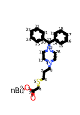 CCCCOC(=O)CSCCCN1CCN(C(c2ccccc2)c2ccccc2)CC1